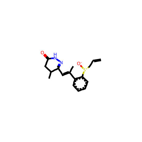 C=CC[S+]([O-])c1ccccc1C(C)=CC1=NNC(=O)CC1C